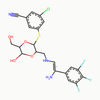 N#Cc1cc(Cl)cc(SC2OC(CO)C(O)OC2CN/C=C(\N)c2cc(F)c(F)c(F)c2)c1